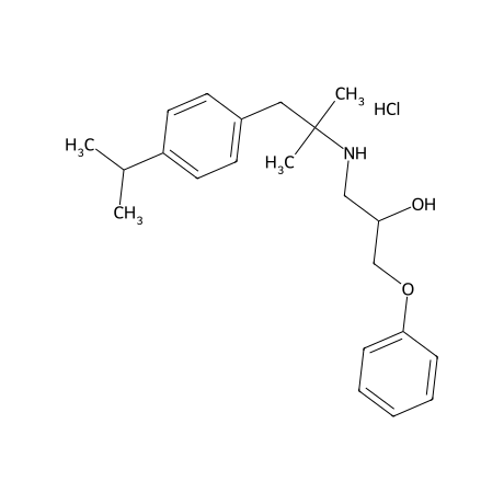 CC(C)c1ccc(CC(C)(C)NCC(O)COc2ccccc2)cc1.Cl